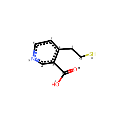 O=C(O)c1cnccc1CCS